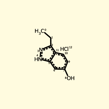 CCc1n[nH]c2cc(O)ccc12.Cl